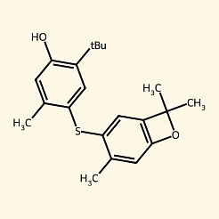 Cc1cc(O)c(C(C)(C)C)cc1Sc1cc2c(cc1C)OC2(C)C